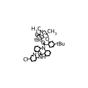 CN(CC(C)(C)COc1cc(C(C)(C)C)ccc1C(=O)N(c1ccccc1)c1ccccc1C(=O)Nc1ccc(Cl)cn1)C(=O)OC(C)(C)C